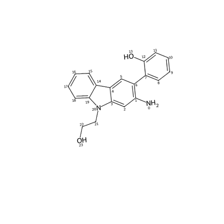 Nc1cc2c(cc1-c1ccccc1O)c1ccccc1n2CCO